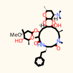 CO[C@]1(C)CC(O[C@@H]2C(C)C(=O)N[C@@H](CCc3ccccc3)CC(=O)N(C)C[C@H](C)C[C@]3(O)O[C@H]4C(O[C@H](C)C[C@@H]4N(C)C)O[C@@H]3[C@H]2C)O[C@@H](C)[C@@H]1O